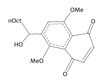 CCCCCCCCC(O)c1cc(OC)c2c(c1OC)C(=O)C=CC2=O